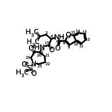 CC(C)CC(NC(=O)c1cc2ccccc2o1)C(=O)N[C@H]1CCCN(S(C)(=O)=O)CC1=O